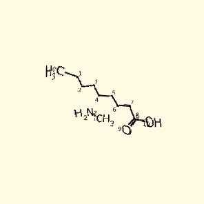 CCCCCCCCC(=O)O.CN